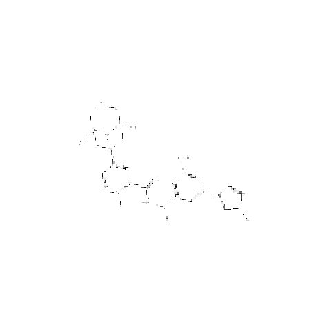 COc1cc(-c2cnn(C)c2)cc([C@@H](C)NC(=O)c2cc(N3C[C@H]4COC[C@@H](C3)N4)ccc2C)c1